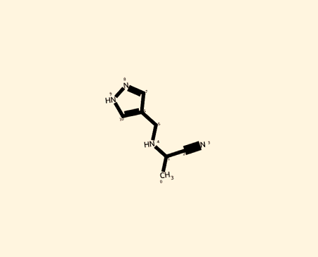 CC(C#N)NCc1cn[nH]c1